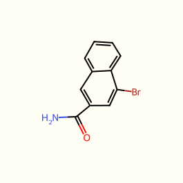 NC(=O)c1cc(Br)c2ccccc2c1